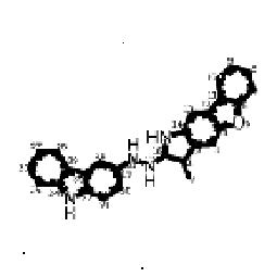 CC1c2cc3oc4ccccc4c3cc2NC1NNc1ccc2[nH]c3ccccc3c2c1